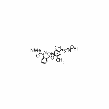 CCON=CSCc1cc(C)c(OCc2ccccc2/C(=N\OC)C(=O)NC)cc1C